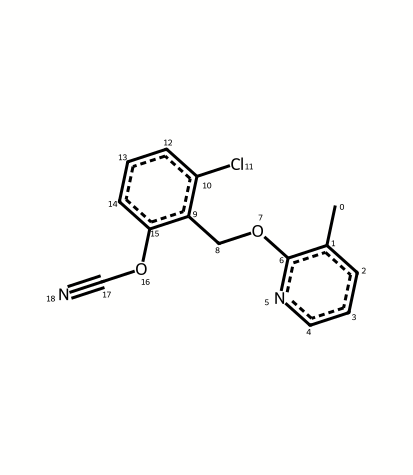 Cc1cccnc1OCc1c(Cl)cccc1OC#N